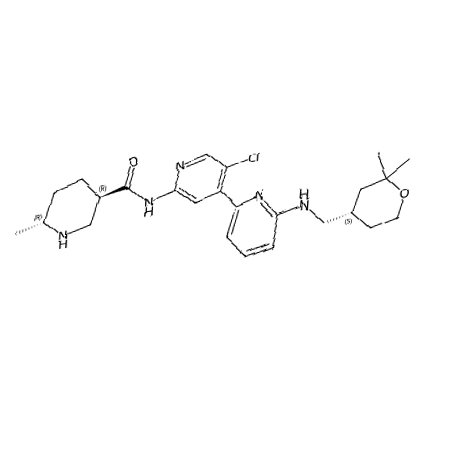 C[C@@H]1CC[C@@H](C(=O)Nc2cc(-c3cccc(NC[C@H]4CCOC(C)(C)C4)n3)c(Cl)cn2)CN1